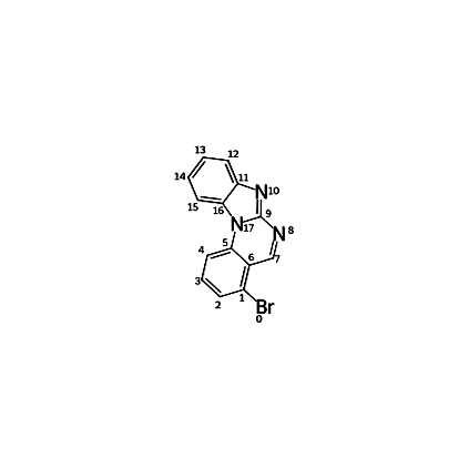 Brc1cccc2c1cnc1nc3ccccc3n12